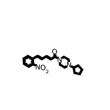 O=C(C=CC=Cc1ccccc1[N+](=O)[O-])N1CCN(C2CCCC2)CC1